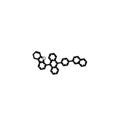 C1=Cc2oc3c(-c4c5ccccc5c(-c5ccc(-c6ccc7ccccc7c6)cc5)c5ccccc45)cccc3c2CC1